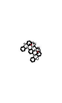 Cc1nnc2c3nnc(C)n3c3c(N4c5ccccc5Sc5ccccc54)ccc(N4c5ccccc5Oc5ccccc54)c3n12